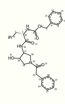 CC(C)C[C@H](NC(=O)OCc1ccncc1)C(=O)NC1CN(C(=O)Cc2ccccc2)CC1O